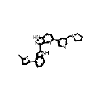 Cc1ccc(-c2cccc3[nH]c(-c4n[nH]c5ccc(-c6cncc(CN7CCCC7)c6)nc45)cc23)s1